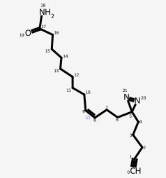 C#CCCCC1(CC/C=C\CCCCCCCC(N)=O)N=N1